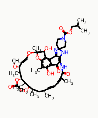 CO[C@H]1/C=C/O[C@@]2(C)Oc3c(C)c(O)c4c(c3C2O)C2=NC3(CCN(C(=O)OCC(C)C)CC3)NC2=C(NC(=O)/C(C)=C\C=C\[C@H](C)C[C@@H](C)[C@@H](O)[C@@H](C)[C@H](OC(C)=O)[C@@H]1C)C4=O